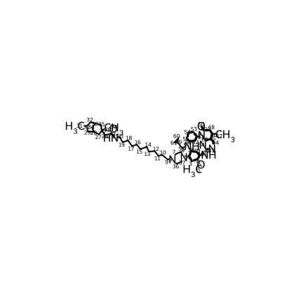 COc1cc(N2CCN(CCCCCCCCCCCCNC(=O)CC3(C)CC4CC(C)CC(C4)C3)CC2)ccc1Nc1ncc2c(C)cc(=O)n(-c3cccc(NCC4CC4)c3)c2n1